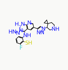 N=N/N=C(\Nc1cccc(F)c1S)c1cc(-c2cn(C3CNCCC34CC4)nn2)cnc1N